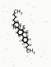 CCCCc1cnc(-c2ccc(-c3ccc(CCC)cc3)c(F)c2F)nc1